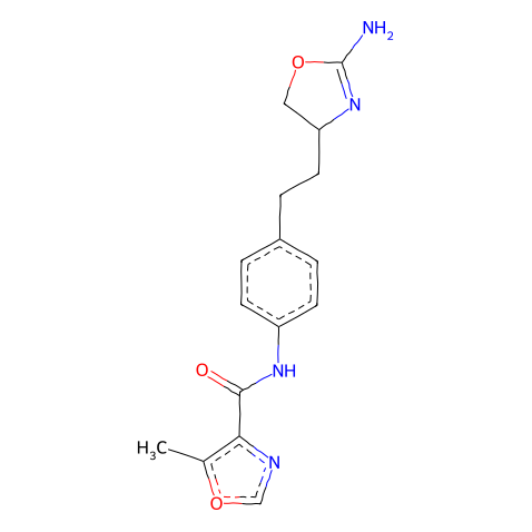 Cc1ocnc1C(=O)Nc1ccc(CCC2COC(N)=N2)cc1